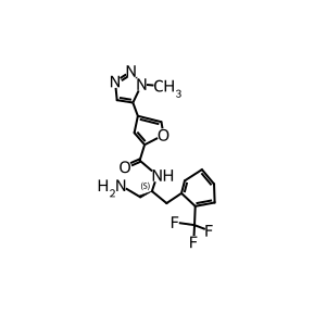 Cn1nncc1-c1coc(C(=O)N[C@H](CN)Cc2ccccc2C(F)(F)F)c1